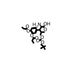 CCC(=O)Oc1ccc(C(C(C)COC(=O)OCC(C)(C)C)[C@H](N)C(=O)O)cc1OC(=O)CC